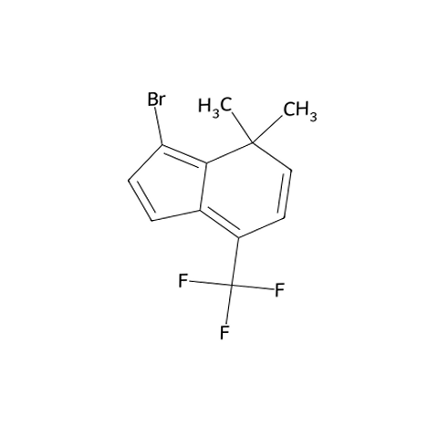 CC1(C)C=CC(C(F)(F)F)=C2C=CC(Br)=C21